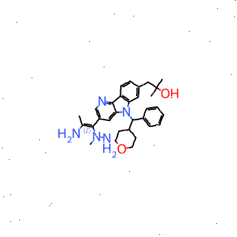 C/C(N)=C(\c1cnc2c3ccc(CC(C)(C)O)cc3n(C(c3ccccc3)C3CCOCC3)c2c1)N(C)N